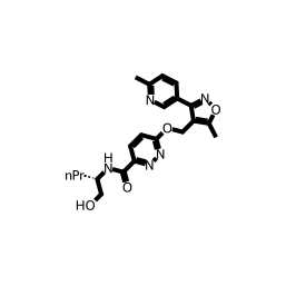 CCC[C@@H](CO)NC(=O)c1ccc(OCc2c(-c3ccc(C)nc3)noc2C)nn1